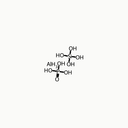 O=P(O)(O)O.O[Si](O)(O)O.[AlH3]